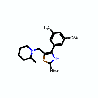 CNC1NC(c2cc(OC)cc(C(F)(F)F)c2)=C(CN2CCCCC2C)S1